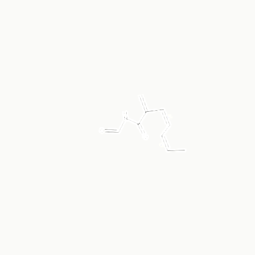 C=C(/C=C\C=C/C)C(=O)NC=O